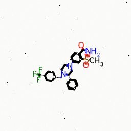 CS(=O)(=O)c1cc(N2CCN(C[C@H]3CC[C@@H](C(F)(F)F)CC3)[C@@H](c3ccccc3)C2)ccc1C(N)=O